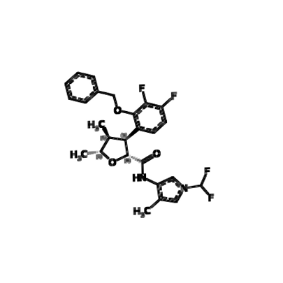 Cc1cn(C(F)F)cc1NC(=O)[C@@H]1O[C@H](C)[C@@H](C)[C@H]1c1ccc(F)c(F)c1OCc1ccccc1